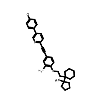 Cc1cc(C#Cc2ccc(-c3ccc(Cl)cc3)cn2)ccc1OCCC1(C2(N)CCCC2)CCCCC1